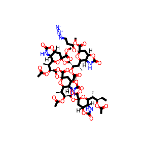 CC[C@@H](OC(C)=O)[C@@H](C)C1O[C@@](OC[C@@H](OC(C)=O)[C@@H](C)C2O[C@@](OC[C@@H](OC(C)=O)[C@@H](C)C3O[C@@](OC[C@@H](OC(C)=O)[C@@H](C)C4O[C@@](OCCCN=[N+]=[N-])(C(=O)OC)C[C@H]5OC(=O)N[C@@H]45)(C(=O)OC)C[C@H]4OC(=O)N[C@@H]34)(C(=O)OC)C[C@H]3OC(=O)N[C@@H]23)(C(=O)OC)C[C@H]2OC(=O)N[C@@H]12